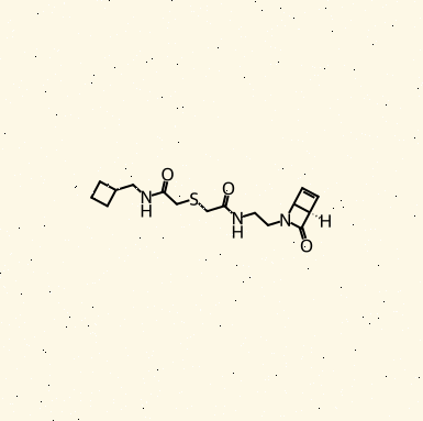 O=C(CSCC(=O)NCC1CCC1)NCCN1C(=O)[C@@H]2C=CC21